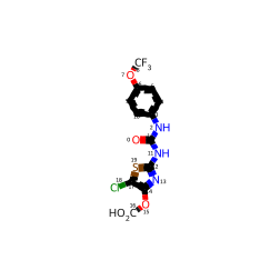 O=C(Nc1ccc(OC(F)(F)F)cc1)Nc1nc(OC(=O)O)c(Cl)s1